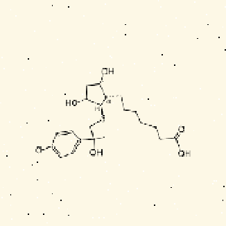 CC(O)(CS[C@H]1C(O)CC(O)[C@@H]1CCCCCCC(=O)O)c1ccc(Cl)cc1